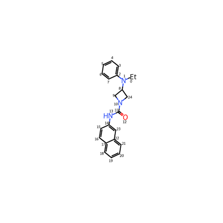 CCN(c1ccccc1)C1CN(C(=O)Nc2ccc3ccccc3c2)C1